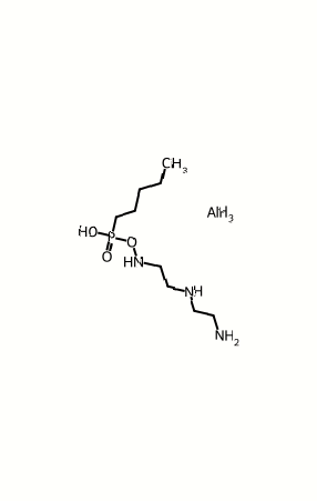 CCCCCP(=O)(O)ONCCNCCN.[AlH3]